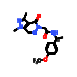 Cc1nn(C)c2cnn(CC(=O)N[C@@H](C)c3ccc(OC(F)(F)F)cc3)c(=O)c12